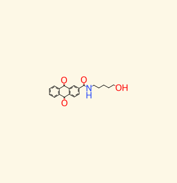 O=C(NCCCCCO)c1ccc2c(c1)C(=O)c1ccccc1C2=O